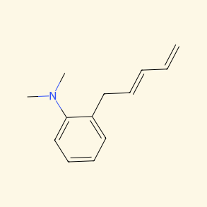 C=C/C=C/Cc1ccccc1N(C)C